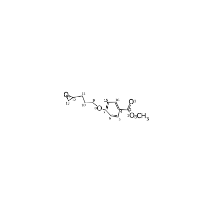 COC(=O)c1ccc(OCCCC2CO2)cc1